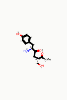 CNC(=O)[C@H](CO)CC(=O)[C@@H](N)Cc1ccc(O)cc1